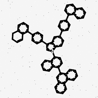 C1=Cc2c(cccc2-c2ccc(-c3cn(-c4ccc(-c5cc6ccccc6c6ccccc56)c5ccccc45)c4ccc(-c5ccc(-c6cccc7ccccc67)cc5)cc34)cc2)CC1